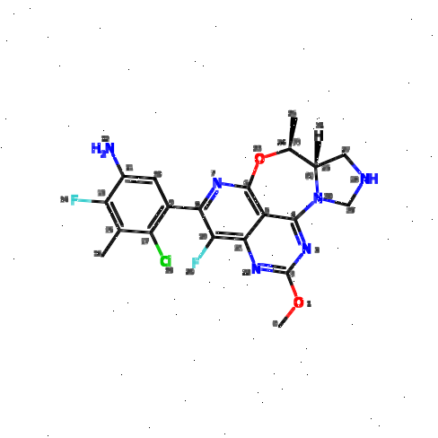 COc1nc2c3c(nc(-c4cc(N)c(F)c(C)c4Cl)c(F)c3n1)O[C@@H](C)[C@@H]1CNCN21